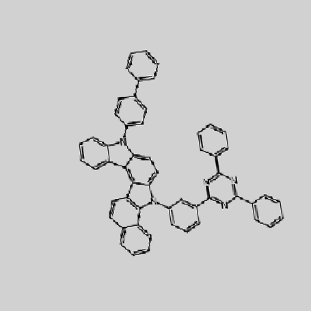 c1ccc(-c2ccc(-n3c4ccccc4c4c5c6ccc7ccccc7c6n(-c6cccc(-c7nc(-c8ccccc8)nc(-c8ccccc8)n7)c6)c5ccc43)cc2)cc1